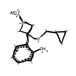 Cc1ccccc1C1(OCC2CC2)CN(C(=O)O)C1